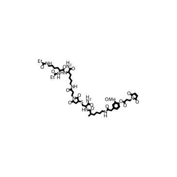 CCC(=O)NCCCCC(NC(=O)CC)C(=O)NC(CCCCNC(=O)CCN1C(=O)CC(SCC(NC(=O)C(C)CCCCNC(=O)Cc2ccc(OC(=O)CCN3C(=O)C=CC3=O)c(OC)c2)C(N)=O)C1=O)C(N)=O